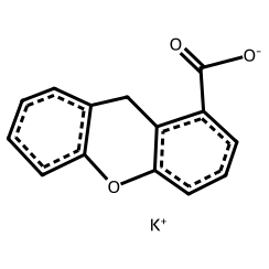 O=C([O-])c1cccc2c1Cc1ccccc1O2.[K+]